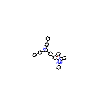 C1=CC(c2ccccc2)CC=C1c1cc(C2=CC=C(C3=CC=C(c4nc(-c5ccccc5)nc5c6ccccc6c(-c6ccccc6)n45)CC3)CC2)cc(-c2ccc(-c3ccccc3)cc2)n1